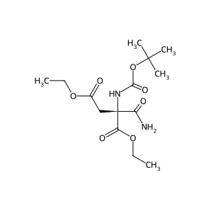 CCOC(=O)C[C@@](NC(=O)OC(C)(C)C)(C(N)=O)C(=O)OCC